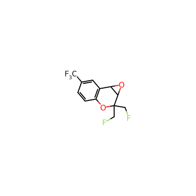 FCC1(CF)Oc2ccc(C(F)(F)F)cc2C2OC21